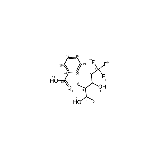 CC(O)C(C)C(O)CC(F)(F)F.O=C(O)c1ccccc1